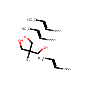 CCC(CO)(CO)CO.CCCCCCCCCC=CC(=O)O.CCCCCCCCCC=CC(=O)O.CCCCCCCCCC=CC(=O)O